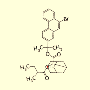 CCC(C)C(=O)OC1C2CC3CC1CC(C2)C3C(=O)OC(C)(C)c1ccc2c(c1)cc(Br)c1ccccc12